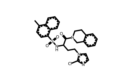 Cc1ccc(S(=O)(=O)NC(CCn2ccnc2Cl)C(=O)N2CCc3ccccc3C2)c2ccccc12